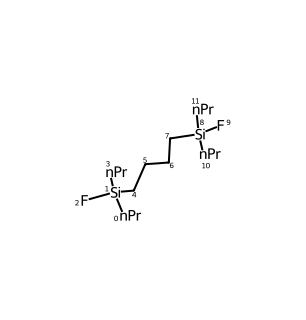 CCC[Si](F)(CCC)CCCC[Si](F)(CCC)CCC